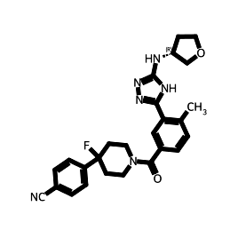 Cc1ccc(C(=O)N2CCC(F)(c3ccc(C#N)cc3)CC2)cc1-c1nnc(N[C@@H]2CCOC2)[nH]1